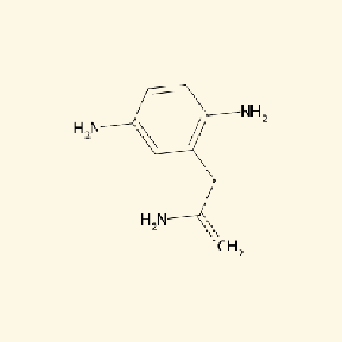 C=C(N)Cc1cc(N)ccc1N